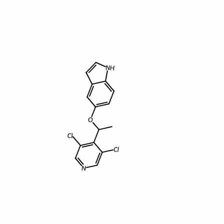 CC(Oc1ccc2[nH]ccc2c1)c1c(Cl)cncc1Cl